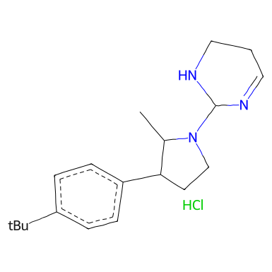 CC1C(c2ccc(C(C)(C)C)cc2)CCN1C1N=CCCN1.Cl